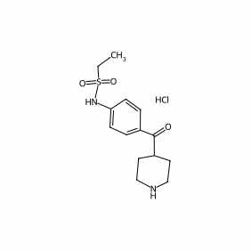 CCS(=O)(=O)Nc1ccc(C(=O)C2CCNCC2)cc1.Cl